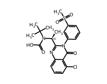 C[C@@H](c1nc2cccc(Cl)c2c(=O)n1-c1cccc(S(C)(=O)=O)c1)N(C(=O)O)C(C)(C)C